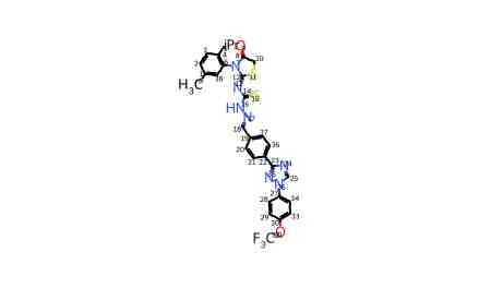 Cc1ccc(C(C)C)c(N2C(=O)CS/C2=N\C(=S)N/N=C/c2ccc(-c3ncn(-c4ccc(OC(F)(F)F)cc4)n3)cc2)c1